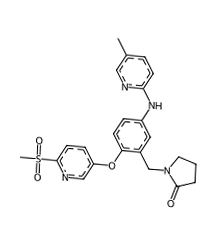 Cc1ccc(Nc2ccc(Oc3ccc(S(C)(=O)=O)nc3)c(CN3CCCC3=O)c2)nc1